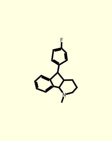 CN1CCCC2C(c3ccc(F)cc3)c3ccccc3C21